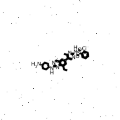 CCc1cc(-c2cnc(NS(=O)(=O)c3ccccc3Cl)nc2C)cc2cnc(N[C@H]3CC[C@H](N)CC3)nc12